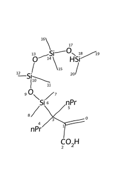 C=C(C(=O)O)C(CCC)(CCC)[Si](C)(C)O[Si](C)(C)O[Si](C)(C)O[SiH](C)C